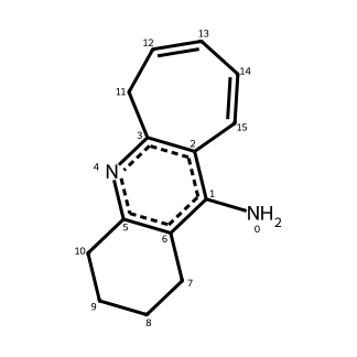 Nc1c2c(nc3c1CCCC3)CC=CC=C2